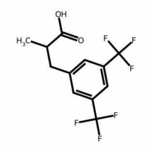 CC(Cc1cc(C(F)(F)F)cc(C(F)(F)F)c1)C(=O)O